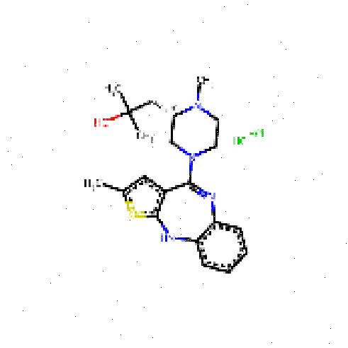 Cc1cc2c(s1)Nc1ccccc1N=C2N1CCN(C)[C@@H](CC(C)(C)O)C1.Cl.Cl